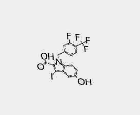 O=C(O)c1c(I)c2cc(O)ccc2n1Cc1ccc(C(F)(F)F)c(F)c1